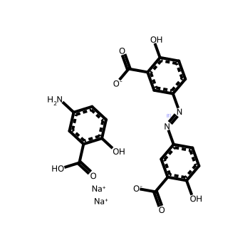 Nc1ccc(O)c(C(=O)O)c1.O=C([O-])c1cc(/N=N/c2ccc(O)c(C(=O)[O-])c2)ccc1O.[Na+].[Na+]